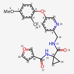 COc1ccc(Oc2ccc(CNC(=O)C3(NC(=O)c4ccoc4)CC3)nc2)c(C(F)(F)F)c1